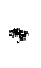 COc1cc(N(C(N)=O)C(CCc2ccc(Cl)c(Cl)c2)CC2CCNCC2)cc(OC)c1OC.I